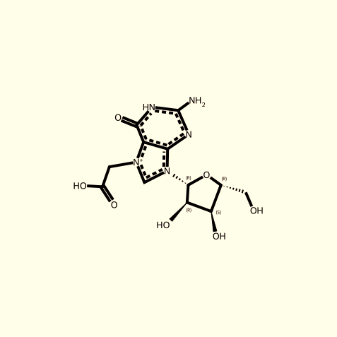 Nc1nc2c(c(=O)[nH]1)[n+](CC(=O)O)cn2[C@@H]1O[C@H](CO)[C@@H](O)[C@H]1O